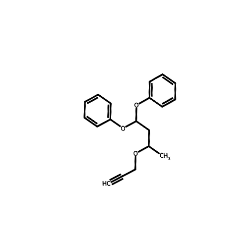 C#CCOC(C)CC(Oc1ccccc1)Oc1ccccc1